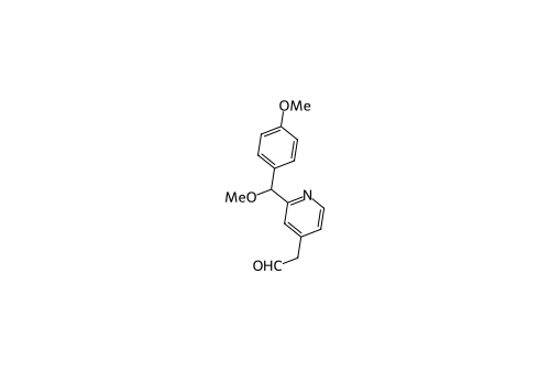 COc1ccc(C(OC)c2cc(CC=O)ccn2)cc1